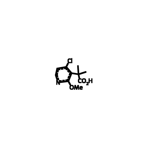 COc1nccc(Cl)c1C(C)(C)C(=O)O